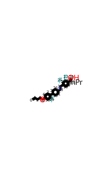 C=CCCOc1ccc(C2CCC(/C=C/c3ccc(C(O)CCC)c(F)c3F)CC2)c(F)c1